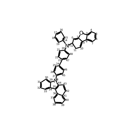 C1=c2oc3ccccc3c2=CCC1N(c1ccccc1)c1ccc(-c2ccc(-n3c4ccccc4c4c5ccccc5ccc43)cc2)cc1